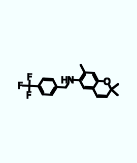 Cc1cc2c(cc1NCc1ccc(C(F)(F)F)cc1)C=CC(C)(C)O2